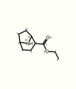 CCOC(=O)C1CCC2CCC1N2